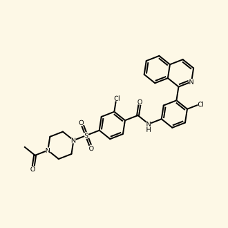 CC(=O)N1CCN(S(=O)(=O)c2ccc(C(=O)Nc3ccc(Cl)c(-c4nccc5ccccc45)c3)c(Cl)c2)CC1